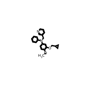 COc1ccc(N(Cc2cccnc2)c2ccccc2)cc1OCC1CC1